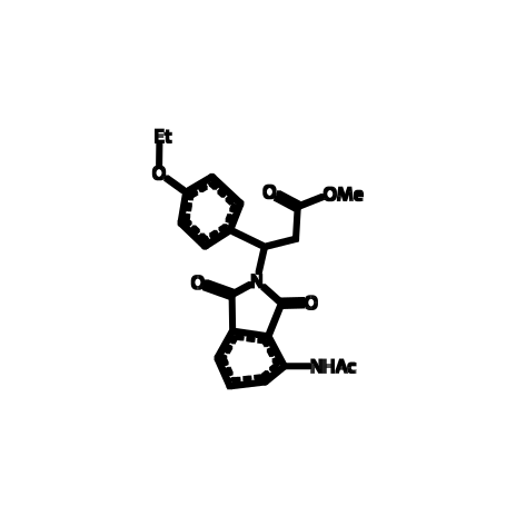 CCOc1ccc(C(CC(=O)OC)N2C(=O)c3cccc(NC(C)=O)c3C2=O)cc1